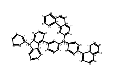 c1ccc(-n2c3ccccc3c3c(-c4cccc(N(c5ccc(-c6cccc7ccccc67)cc5)c5ccc6ccc7ccccc7c6c5)c4)cccc32)cc1